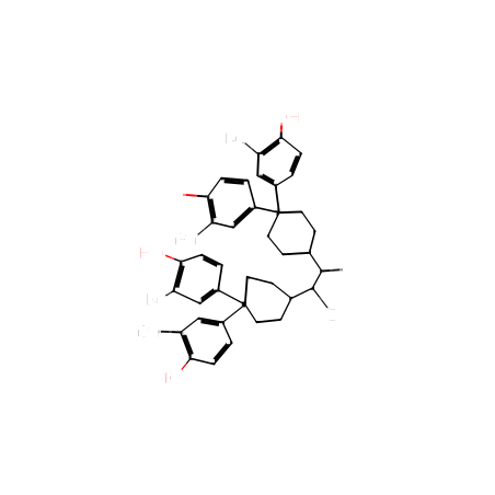 CCC(C)c1cc(C2(c3ccc(O)c(C(C)CC)c3)CCC(C(CC)C(CC)C3CCC(c4ccc(O)c(C(C)CC)c4)(c4ccc(O)c(C(C)CC)c4)CC3)CC2)ccc1O